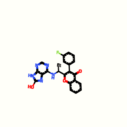 CCC(Nc1ncnc2[nH]c(O)nc12)c1oc2ccccc2c(=O)c1-c1cccc(F)c1